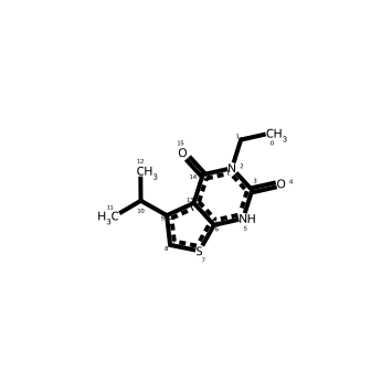 CCn1c(=O)[nH]c2scc(C(C)C)c2c1=O